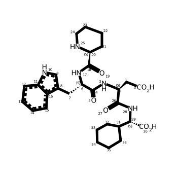 O=C(O)C[C@H](NC(=O)[C@H](Cc1c[nH]c2ccccc12)NC(=O)[C@@H]1CCCCN1)C(=O)N[C@H](C(=O)O)C1CCCCC1